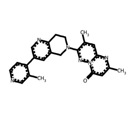 Cc1cc(=O)n2nc(N3CCc4ncc(-c5ccncc5C)cc4C3)c(C)cc2n1